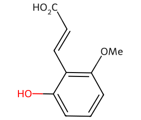 COc1cccc(O)c1C=CC(=O)O